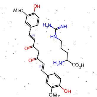 COc1cc(/C=C/C(=O)CC(=O)/C=C/c2ccc(O)c(OC)c2)ccc1O.N=C(N)NCCCC(N)C(=O)O